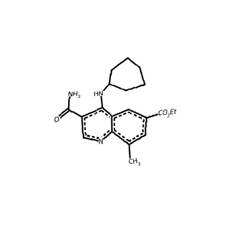 CCOC(=O)c1cc(C)c2ncc(C(N)=O)c(NC3CCCCC3)c2c1